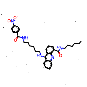 CCCCCCNC(=O)c1cccc2c(NCCCCCCNC(=O)c3ccc([N+](=O)[O-])cc3)c3ccccc3nc12